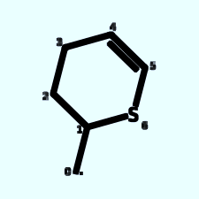 [CH2]C1CCC=CS1